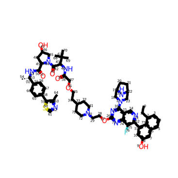 CCc1cccc2cc(O)cc(-c3ncc4c(N5CC6CCC(C5)N6)nc(OCCN5CCC(CCOCC(=O)NC(C(=O)N6CC(O)CC6C(=O)N[C@@H](C)c6ccc(-c7scnc7C)cc6)C(C)(C)C)CC5)nc4c3F)c12